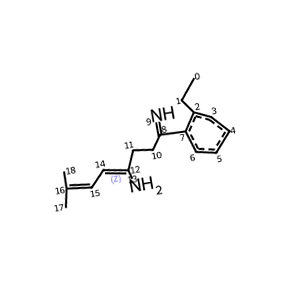 CCc1ccccc1C(=N)CC/C(N)=C/C=C(C)C